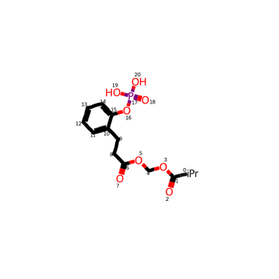 CC(C)C(=O)OCOC(=O)CCc1ccccc1OP(=O)(O)O